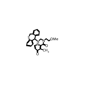 COCCN1CN(C2c3ccccc3CSc3ccccc32)n2ccc(=O)c(C)c2C1=O